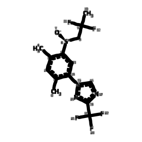 Cc1cc(C)c([S@@+]([O-])CC(C)(F)F)cc1-n1cnc(C(F)(F)F)n1